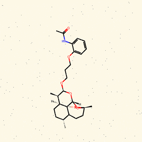 CC(=O)Nc1ccccc1OCCCO[C@H]1O[C@@H]2O[C@@]3(C)CCC4[C@H](C)CC[C@@H]([C@H]1C)[C@]42OO3